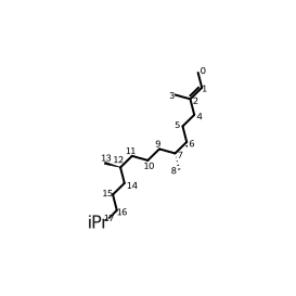 C/C=C(\C)CC[CH][C@H](C)CCC[C@H](C)CCCC(C)C